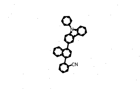 N#Cc1ccccc1-c1ccc(-c2ccc3c(c2)c2ccccc2n3-c2ccccc2)c2ccccc12